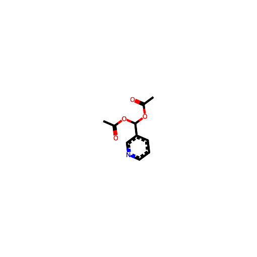 CC(=O)OC(OC(C)=O)c1cccnc1